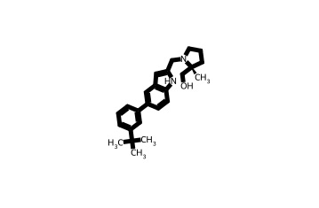 CC(C)(C)c1cccc(-c2ccc3[nH]c(CN4CCC[C@]4(C)CO)cc3c2)c1